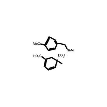 CNCc1ccc(OC)cc1.C[C@@]1(C(=O)O)C=CC=C(C(=O)O)C1